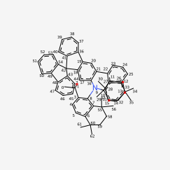 CC(C)c1ccc2c(c1N(c1ccccc1)c1cc3c(cc1-c1cccc4c1C(C)(C)CCC4(C)C)-c1ccccc1C31c3ccccc3-c3ccccc31)C(C)(C)CCC2(C)C